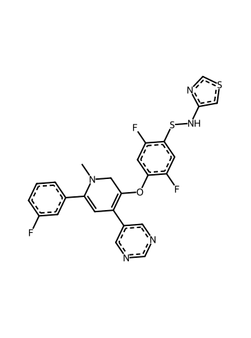 CN1CC(Oc2cc(F)c(SNc3cscn3)cc2F)=C(c2cncnc2)C=C1c1cccc(F)c1